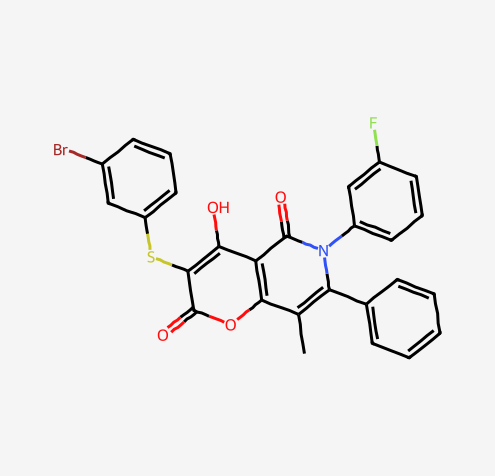 Cc1c(-c2ccccc2)n(-c2cccc(F)c2)c(=O)c2c(O)c(Sc3cccc(Br)c3)c(=O)oc12